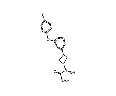 CNC(=O)N(O)[C@H]1C[C@@H](c2cccc(Oc3ccc(F)cc3)c2)C1